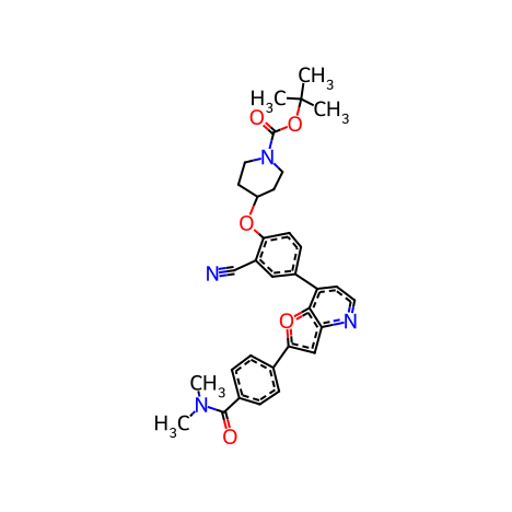 CN(C)C(=O)c1ccc(-c2cc3nccc(-c4ccc(OC5CCN(C(=O)OC(C)(C)C)CC5)c(C#N)c4)c3o2)cc1